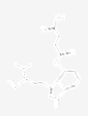 CCN(CCc1c[nH]c2cccc(OC(=O)CCC(=O)O)c12)C(C)C